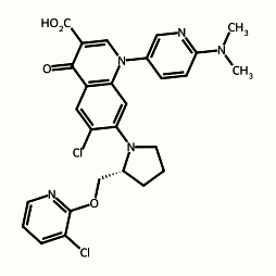 CN(C)c1ccc(-n2cc(C(=O)O)c(=O)c3cc(Cl)c(N4CCC[C@@H]4COc4ncccc4Cl)cc32)cn1